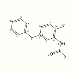 CC(=O)Nc1c[n+](Cc2ccccc2)ccc1C